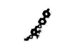 C/C=C/Oc1ccc(COC2CCC(c3ccc(C)cc3)CC2)c(F)c1F